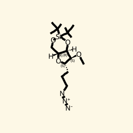 CO[C@@H]1[C@@H]2O[Si](C(C)(C)C)(C(C)(C)C)OC[C@H]2O[C@H]1CCCN=[N+]=[N-]